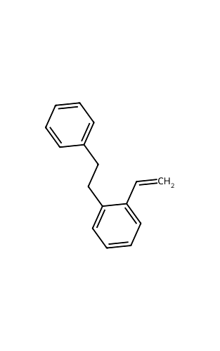 C=Cc1ccccc1CCc1ccccc1